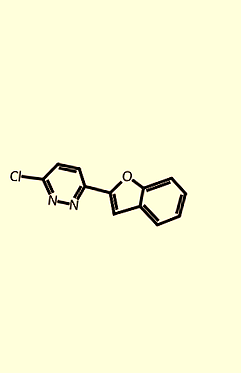 Clc1ccc(-c2cc3ccccc3o2)nn1